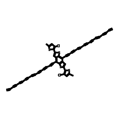 C#CC#CC#CC#CC#CC#CC#CC#Cc1c2cc(-c3sc(C)cc3Cl)sc2c(C#CC#CC#CC#CC#CC#CC#CC#C)c2cc(-c3sc(C)cc3Cl)sc12